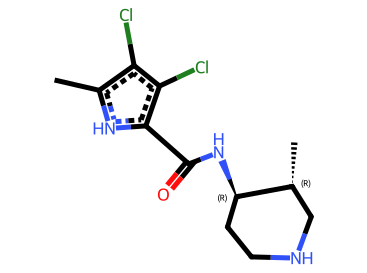 Cc1[nH]c(C(=O)N[C@@H]2CCNC[C@H]2C)c(Cl)c1Cl